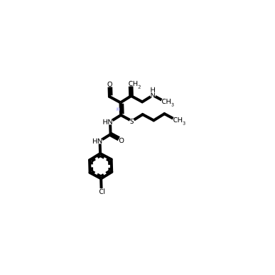 C=C(CNC)/C(C=O)=C(/NC(=O)Nc1ccc(Cl)cc1)SCCCC